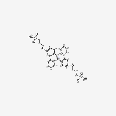 O=S(=O)(O)CCCOc1ccc(/C(=C(\c2ccccc2)c2ccc(OCCCS(=O)(=O)O)cc2)c2ccccc2)cc1